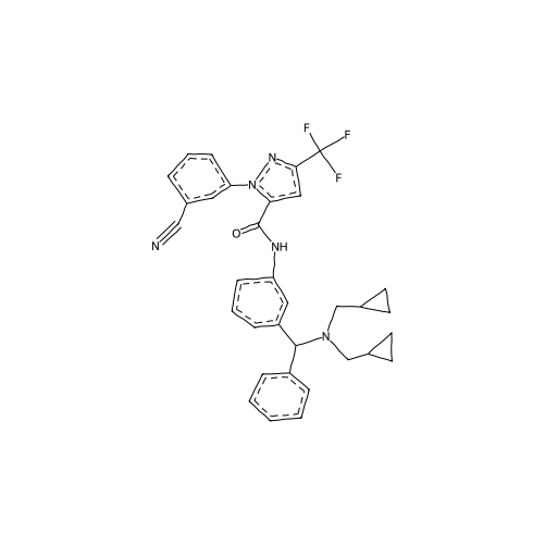 N#Cc1cccc(-n2nc(C(F)(F)F)cc2C(=O)Nc2cccc(C(c3ccccc3)N(CC3CC3)CC3CC3)c2)c1